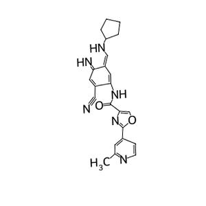 Cc1cc(-c2nc(C(=O)NC3=C/C(=C/NC4CCCC4)C(=N)C=C3C#N)co2)ccn1